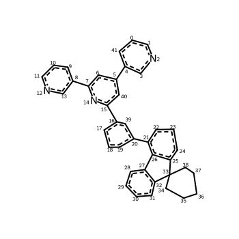 c1cncc(-c2cc(-c3cccnc3)nc(-c3cccc(-c4cccc5c4-c4ccccc4C54CCCCC4)c3)c2)c1